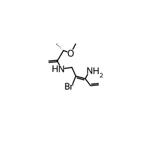 C=CC(N)=C(Br)CNC(=C)[C@H](C)OC